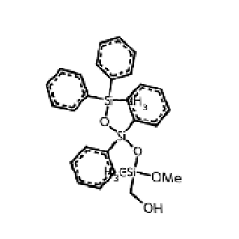 CO[Si](C)(CO)O[Si](O[Si](C)(c1ccccc1)c1ccccc1)(c1ccccc1)c1ccccc1